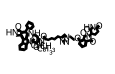 CO[C@@H]1[C@H](N(C)C(=O)CCCCc2cn(CCOc3cccc4c3C(=O)N(C3CCC(=O)NC3=O)C4=O)nn2)C[C@H]2O[C@]1(C)n1c3ccccc3c3c4c(c5c6ccccc6n2c5c31)C(=O)NC4